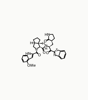 COc1cccc2[nH]c(C(=O)N3C[C@@H]4CCC[C@@H]4[C@H]3C(=O)N[C@@H](C[C@@H]3CCNC3=O)C(=O)c3nc4ccccc4s3)cc12